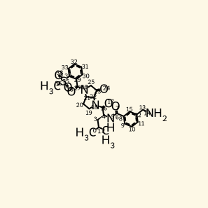 CC(C)C[C@H](NC(=O)c1cccc(CN)c1)C(=O)N1CCC2C1C(=O)CN2C(=O)c1ccccc1S(C)(=O)=O